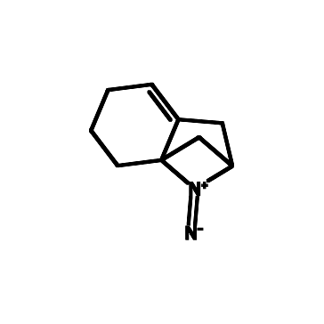 [N-]=[N+]1C2CC3=CCCCC31C2